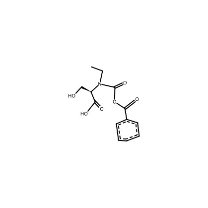 CCN(C(=O)OC(=O)c1ccccc1)[C@H](CO)C(=O)O